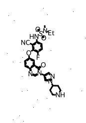 CCN(C)S(=O)(=O)Nc1ccc(F)c(Oc2ccc3ncn(-c4cnn(C5CCNCC5)c4)c(=O)c3c2)c1C#N